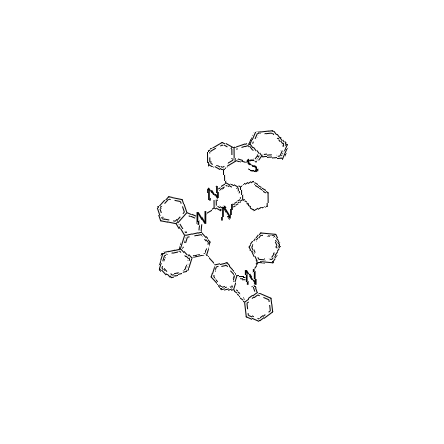 C1=Cc2c(nc(-n3c4ccccc4c4c5ccccc5c(-c5ccc6c7ccccc7n(-c7ccccc7)c6c5)cc43)nc2-c2cccc3c2sc2ccccc23)CC1